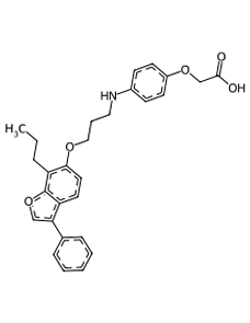 CCCc1c(OCCCNc2ccc(OCC(=O)O)cc2)ccc2c(-c3ccccc3)coc12